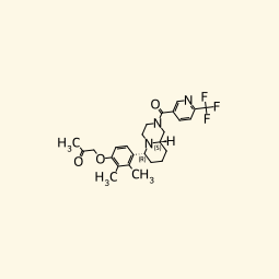 CC(=O)COc1ccc([C@H]2CCC[C@H]3CN(C(=O)c4ccc(C(F)(F)F)nc4)CCN32)c(C)c1C